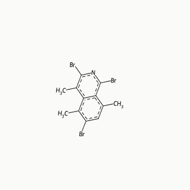 Cc1cc(Br)c(C)c2c(C)c(Br)nc(Br)c12